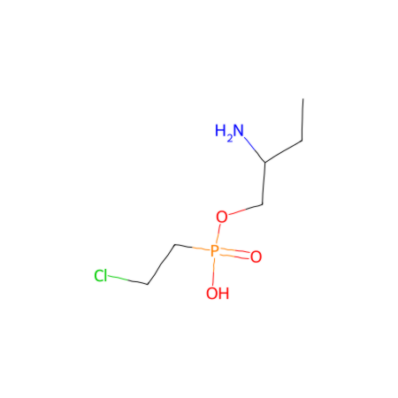 CCC(N)COP(=O)(O)CCCl